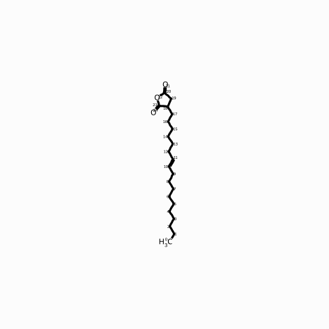 CCCCCCCCCCC=CCCCCCCC1CC(=O)OC1=O